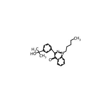 CCCCCn1nc(-c2cccc(C(C)(C)O)c2)c(=O)c2ccccc21